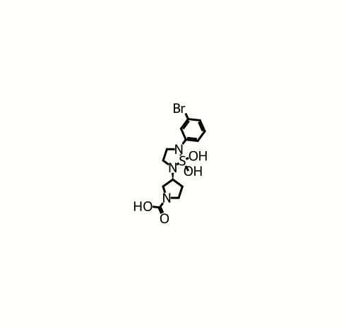 O=C(O)N1CC[C@H](N2CCN(c3cccc(Br)c3)S2(O)O)C1